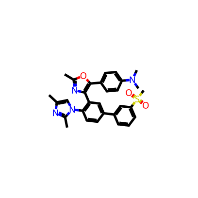 Cc1cn(-c2ccc(-c3cccc(S(C)(=O)=O)c3)cc2-c2nc(C)oc2-c2ccc(N(C)C)cc2)c(C)n1